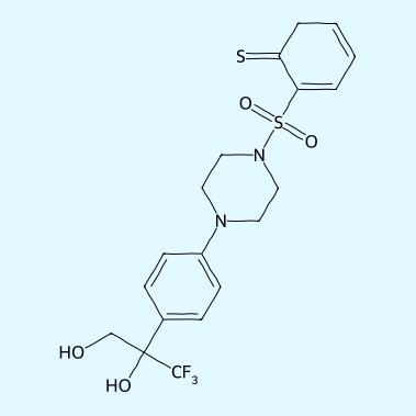 O=S(=O)(C1=CC=CCC1=S)N1CCN(c2ccc(C(O)(CO)C(F)(F)F)cc2)CC1